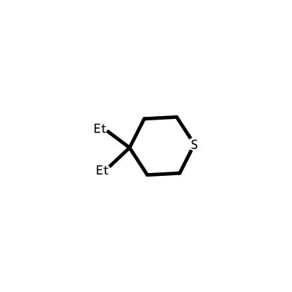 CCC1(CC)CCSCC1